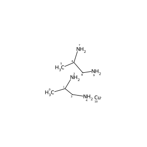 CC(N)CN.CC(N)CN.[Cu]